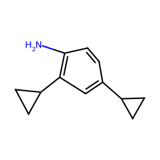 Nc1ccc(C2CC2)cc1C1CC1